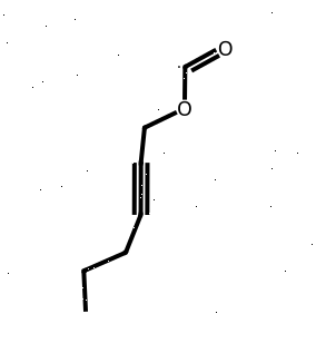 CCCC#CCO[C]=O